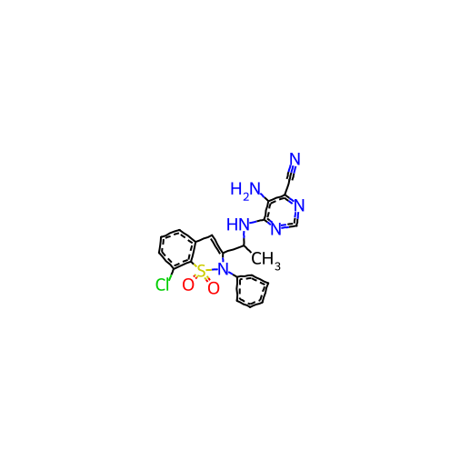 CC(Nc1ncnc(C#N)c1N)C1=Cc2cccc(Cl)c2S(=O)(=O)N1c1ccccc1